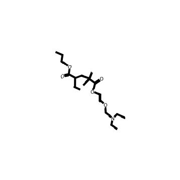 CCCOC(=O)C(CC)CC(C)(C)C(=O)OCCOCN(CC)CC